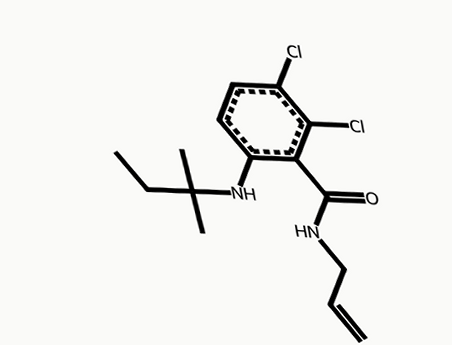 C=CCNC(=O)c1c(NC(C)(C)CC)ccc(Cl)c1Cl